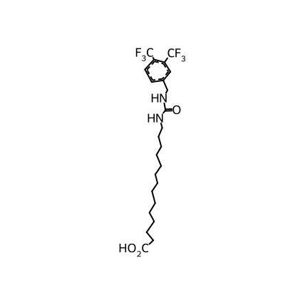 O=C(O)CCCCCCCCCCCCCNC(=O)NCc1ccc(C(F)(F)F)c(C(F)(F)F)c1